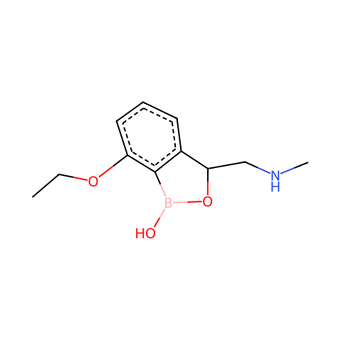 CCOc1cccc2c1B(O)OC2CNC